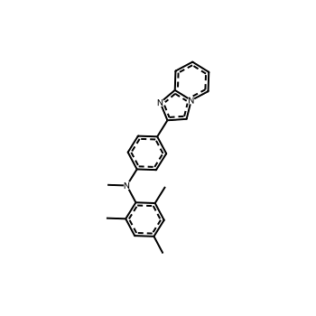 Cc1cc(C)c(N(C)c2ccc(-c3cn4ccccc4n3)cc2)c(C)c1